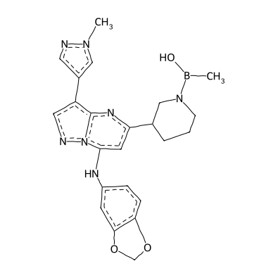 CB(O)N1CCCC(c2cc(Nc3ccc4c(c3)OCO4)n3ncc(-c4cnn(C)c4)c3n2)C1